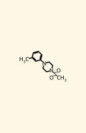 Cc1cccc(N2CCN(S(C)(=O)=O)CC2)c1